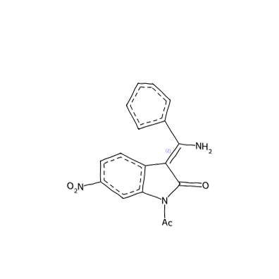 CC(=O)N1C(=O)/C(=C(\N)c2ccccc2)c2ccc([N+](=O)[O-])cc21